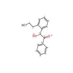 N#CCCc1ccccc1C(O)C(=O)c1ccccc1